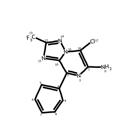 Nc1nc(-c2ccccc2)c2nc(C(F)(F)F)nn2c1Cl